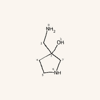 NCC1(O)CCNC1